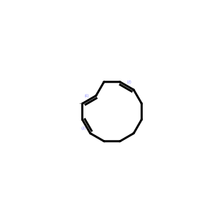 [C]1=C/C/C=C\CCCCC\C=C/1